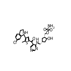 Cc1sc(C(=O)c2cncnc2NC[C@@H]2C[C@H](COS(N)(=O)=O)[C@@H](O)C2)cc1C1NCCc2ccc(Cl)cc21